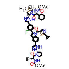 COC(=O)NC(C(=O)N1CCC[C@H]1c1ncc(-c2ccc3c(c2)cc2n3[C@H](c3cnc(C4CC4)s3)Oc3cc(-c4cnc([C@@H]5CS(C)(C)CN5C(=O)[C@@H](NC(=O)OC)C5CCCCC5)[nH]4)cc(F)c3-2)[nH]1)C(C)C